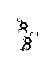 Cl.Fc1cc(Cl)ccc1COc1ccc2c(n1)CNCC2